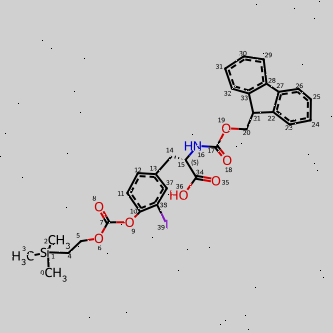 C[Si](C)(C)CCOC(=O)Oc1ccc(C[C@H](NC(=O)OCC2c3ccccc3-c3ccccc32)C(=O)O)cc1I